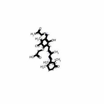 CC(/C=C/[C@@]1(C)[C@H](C)CCC(=O)[C@@H]1C)=C\Cc1c(O)c(/C=N\CC(N)=O)c(C)c(Cl)c1OCC(=O)O